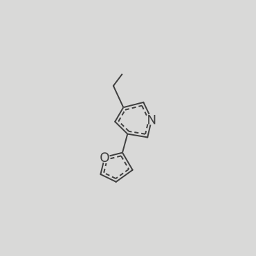 CCc1cncc(-c2ccco2)c1